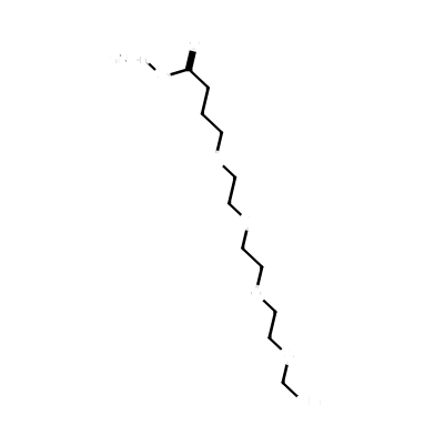 CCCCCCCCCCCOCCOCCOCCOCCCC(=O)OCCCCCCCCC